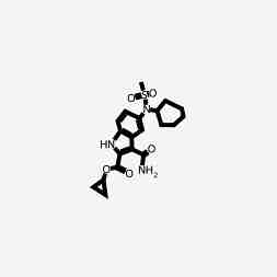 CS(=O)(=O)N(c1ccc2[nH]c(C(=O)OC3CC3)c(C(N)=O)c2c1)C1CCCCC1